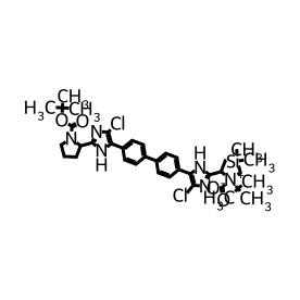 CC(C)(C)OC(=O)N1CCCC1c1nc(Cl)c(-c2ccc(-c3ccc(-c4[nH]c(C5C[Si](C)(C)C[N+]5(C(=O)[O-])C(C)(C)C)nc4Cl)cc3)cc2)[nH]1